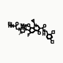 CCNC(=O)CN1[C@H](C)CN(c2c(F)cc3c(=O)c(C(=O)NCc4ccc(Cl)cc4Cl)cn(C4CC4)c3c2OC)C[C@@H]1C